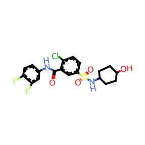 O=C(Nc1ccc(F)c(F)c1)c1cc(S(=O)(=O)NC2CCC(O)CC2)ccc1Cl